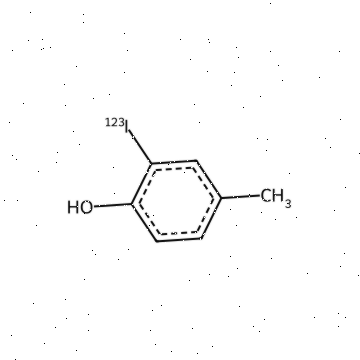 Cc1ccc(O)c([123I])c1